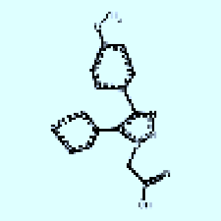 COc1ccc(-c2nnn(CC(=O)O)c2-c2ccccc2)cc1